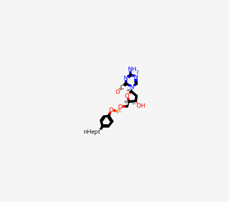 CCCCCCCc1ccc(O[P]OC[C@H]2O[C@@H](N3C=NC(N)=NC3=C=O)C[C@@H]2O)cc1